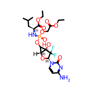 CCOC(=O)COP(=O)(N[C@@H](CC(C)C)C(=O)OCC)OC1[C@H]2O[C@@H](n3ccc(N)nc3=O)C(F)(F)[C@@]12O